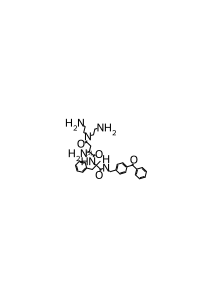 CC(Cc1ccccc1)(NC(=O)[C@@H](N)CC(=O)N(CCN)CCN)C(=O)NCc1ccc(C(=O)c2ccccc2)cc1